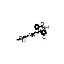 CCOC(=O)/C=C/CNCCCCN1c2cc(Cl)ccc2NC(=O)c2ccccc21